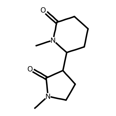 CN1CCC(C2CCCC(=O)N2C)C1=O